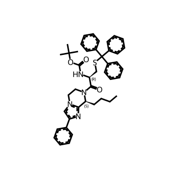 CCCC[C@H]1c2nc(-c3ccccc3)cn2CCN1C(=O)[C@H](CSC(c1ccccc1)(c1ccccc1)c1ccccc1)NC(=O)OC(C)(C)C